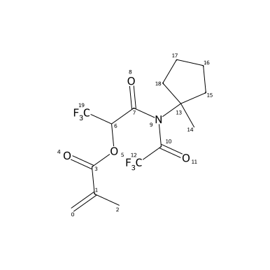 C=C(C)C(=O)OC(C(=O)N(C(=O)C(F)(F)F)C1(C)CCCC1)C(F)(F)F